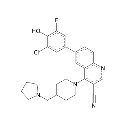 N#Cc1cnc2ccc(-c3cc(F)c(O)c(Cl)c3)cc2c1N1CCC(CN2CCCC2)CC1